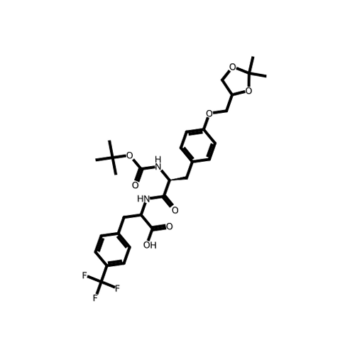 CC(C)(C)OC(=O)N[C@@H](Cc1ccc(OCC2COC(C)(C)O2)cc1)C(=O)NC(Cc1ccc(C(F)(F)F)cc1)C(=O)O